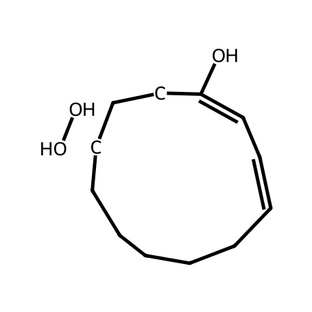 OC1=CC=CCCCCCCCC1.OO